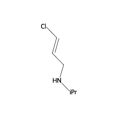 CC(C)NCC=CCl